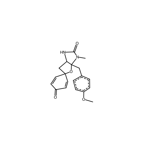 COc1ccc(CC23OC4(C=CC(=O)C=C4)CC2NC(=O)N3C)cc1